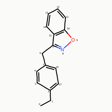 CCc1ccc(Cc2noc3ccc[c]c23)cc1